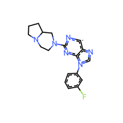 Fc1cccc(-n2cnc3[c]nc(N4CCN5CCCC5C4)nc32)c1